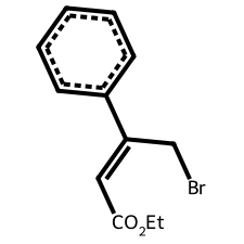 CCOC(=O)C=C(CBr)c1ccccc1